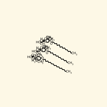 CCCCCCCCCCCCCCCC(=O)OC1CCN(OCC(C)(C)O)C(C)(C)C1(C)C.CCCCCCCCCCCCCCCC(=O)OC1CCN(OCC(C)(C)O)C(C)(C)C1(C)C.CCCCCCCCCCCCCCCCCC(=O)OC1CC(C)(C)N(OCC(C)(C)O)C(C)(C)C1